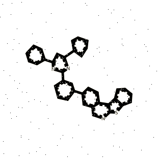 c1ccc(-c2cc(-c3ccccc3)nc(-c3cccc(-c4ccc5c(cnc6sc7ccccc7c65)c4)c3)n2)cc1